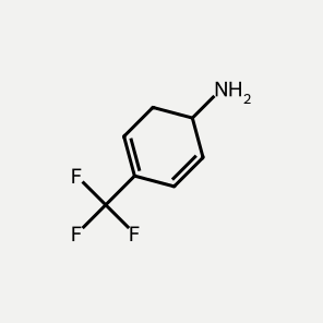 NC1C=CC(C(F)(F)F)=CC1